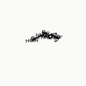 COCCOc1ccc(Nc2ncc(F)c(NCCCCCC(=O)NO)n2)cc1